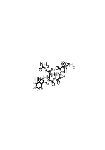 CC(=O)[C@H](CCC(N)=O)NN[C@@H](Cc1c[nH]c2ccccc12)C(=O)CC(=O)[C@H](C)NCC(=O)[C@@H](NP)C(C)C